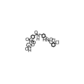 O=C(Cc1cccc(Cl)c1Cl)NCc1ccc(CNC(=O)c2ccc3c(c2)C(=O)N(C2CCC(=O)NC2=O)C3=O)cc1